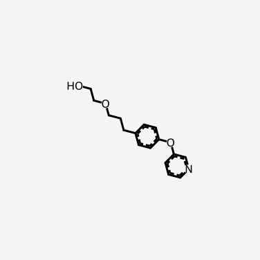 OCCOCCCc1ccc(Oc2cccnc2)cc1